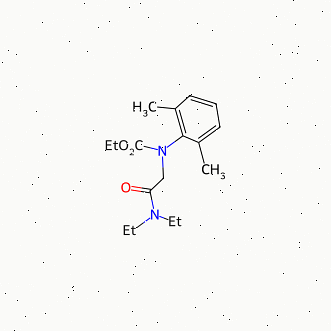 CCOC(=O)N(CC(=O)N(CC)CC)c1c(C)cccc1C